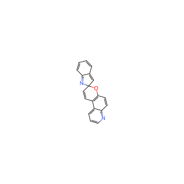 C1=CC2(C=c3ccccc3=N2)Oc2ccc3ncccc3c21